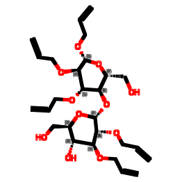 C=CCO[C@@H]1O[C@H](CO)[C@@H](O[C@H]2O[C@H](CO)[C@@H](O)[C@H](OCC=C)[C@H]2OCC=C)[C@H](OCC=C)[C@H]1OCC=C